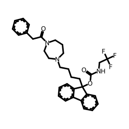 O=C(NCC(F)(F)F)OC1(CCCCN2CCCN(C(=O)Cc3ccccc3)CC2)c2ccccc2-c2ccccc21